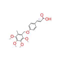 COc1c(C)c(COc2ccc(/C=C/C(=O)O)cc2)c(OC)c(OC)c1OC